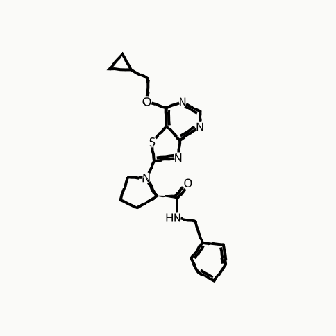 O=C(NCc1ccccc1)[C@H]1CCCN1c1nc2ncnc(OCC3CC3)c2s1